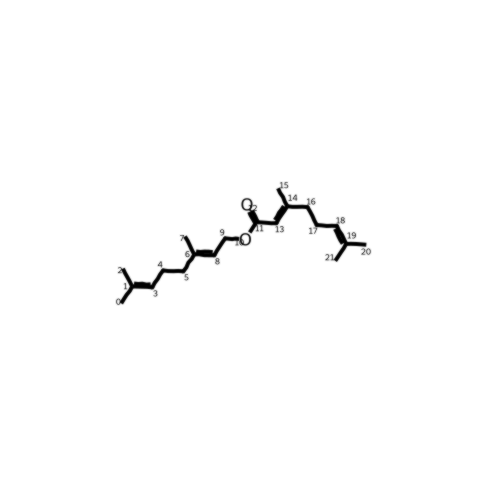 CC(C)=CCC/C(C)=C/COC(=O)/C=C(\C)CCC=C(C)C